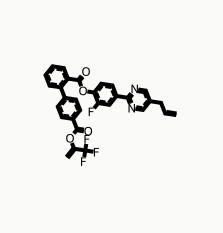 C=CCc1cnc(-c2ccc(OC(=O)c3ccccc3-c3ccc(C(=O)OC(=C)C(F)(F)F)cc3)c(F)c2)nc1